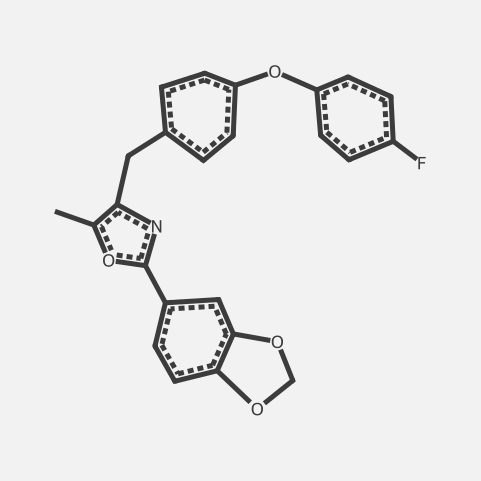 Cc1oc(-c2ccc3c(c2)OCO3)nc1Cc1ccc(Oc2ccc(F)cc2)cc1